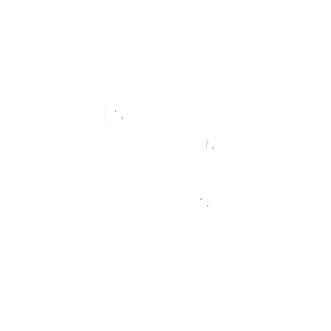 NC(=O)c1ccn2c1CNCC2